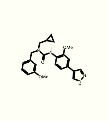 COc1cccc(CN(CC2CC2)C(=O)Nc2ccc(-c3cn[nH]c3)cc2OC)c1